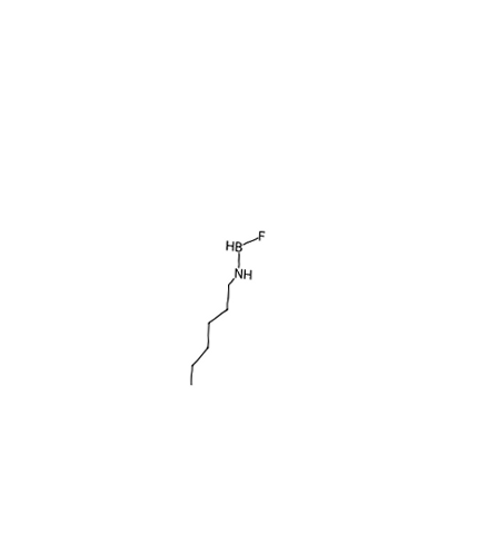 CCCCCCNBF